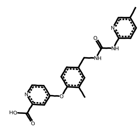 Cc1ccc(NC(=O)NCc2ccc(Oc3ccnc(C(=O)O)c3)c(C)c2)nc1